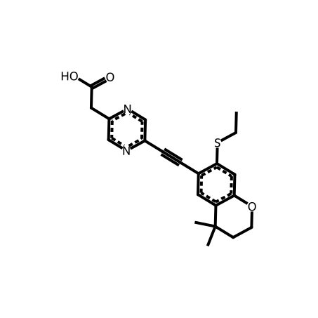 CCSc1cc2c(cc1C#Cc1cnc(CC(=O)O)cn1)C(C)(C)CCO2